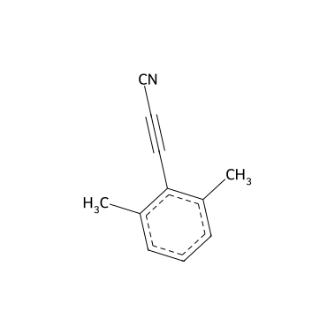 Cc1cccc(C)c1C#CC#N